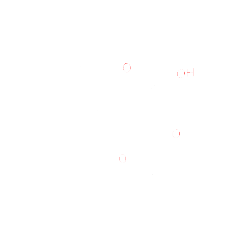 O=C(O)[C@@H]1OCCO[C@@H]1c1ccccc1